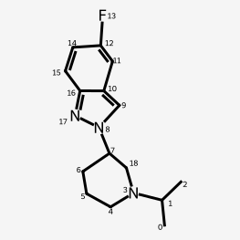 CC(C)N1CCCC(n2cc3cc(F)ccc3n2)C1